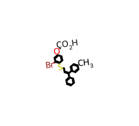 Cc1ccc(/C(=C\CSc2ccc(OCC(=O)O)cc2Br)c2ccccc2)cc1